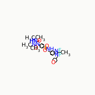 CC(C)NC(=O)N(C(=O)NC(C)C)c1ccc(S(=O)(=O)NCc2ccc3c(c2)nc(C(C)(F)F)n3CC2CCOCC2)cc1